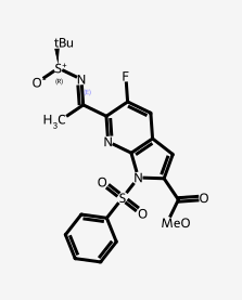 COC(=O)c1cc2cc(F)c(/C(C)=N/[S@@+]([O-])C(C)(C)C)nc2n1S(=O)(=O)c1ccccc1